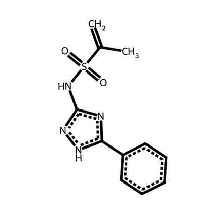 C=C(C)S(=O)(=O)Nc1n[nH]c(-c2ccccc2)n1